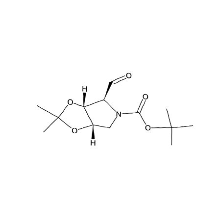 CC(C)(C)OC(=O)N1C[C@@H]2OC(C)(C)O[C@@H]2[C@H]1C=O